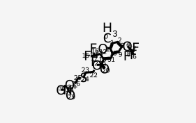 Cc1cc(OC(F)(F)F)cc2c1OC(C(F)(F)F)C(C(=O)OCCSCCO[N+](=O)[O-])=C2